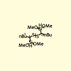 CCCCC(SSC(CCCC)[SiH](OC)OC)[SiH](OC)OC